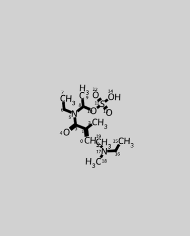 C=C(C)C(=O)N(CC)C(C)OS(=O)(=O)O.CCN(C)C